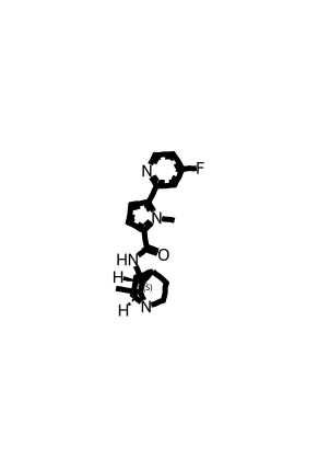 C[C@H]1[C@H](NC(=O)c2ccc(-c3cc(F)ccn3)n2C)C2CCN1CC2